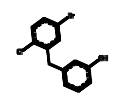 Oc1cccc(Cc2cc(Br)ccc2Cl)c1